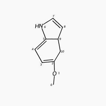 COC1=CC=C2NC=CC2C1